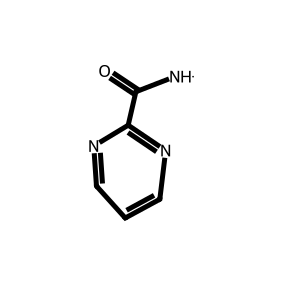 [NH]C(=O)c1ncccn1